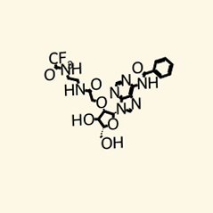 O=C(CO[C@H]1C(O)[C@@H](CO)O[C@H]1n1cnc2c(NC(=O)c3ccccc3)ncnc21)NCCNC(=O)C(F)(F)F